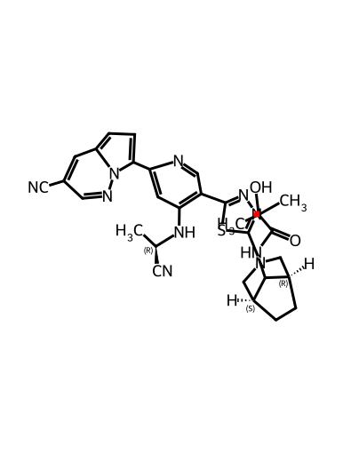 C[C@H](C#N)Nc1cc(-c2ccc3cc(C#N)cnn23)ncc1-c1nnc(N2C[C@H]3CC[C@@H](C2)C3NC(=O)C(C)(C)O)s1